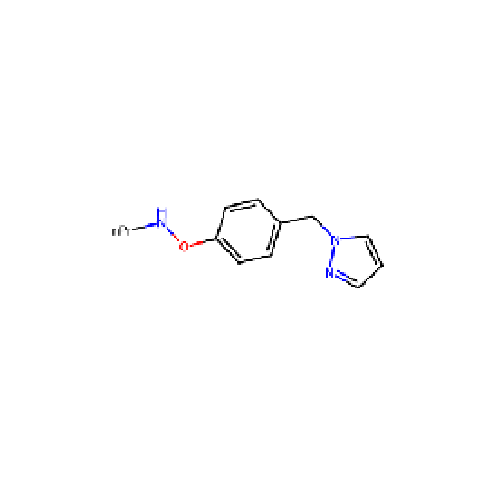 CCCNOc1ccc(Cn2cccn2)cc1